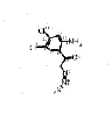 [N-]=[N+]=NCC(=O)c1cc(Cl)c(Cl)cc1N